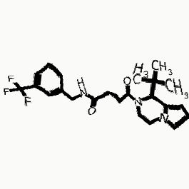 CC(C)(C)C1c2cccn2CCN1C(=O)CCC(=O)NCc1cccc(C(F)(F)F)c1